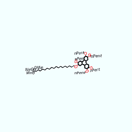 CCCCCOc1cc2c3cc(OCCCCC)c(OCCCCC)cc3c3cc(OCCCCCCCCCCCCCCCCCC[Si](OC)(OC)OC)c(OCCCCC)cc3c2cc1OCCCCC